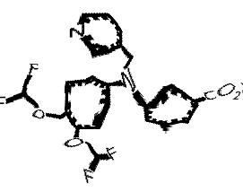 O=C(O)c1cccc(N(Cc2cccnc2)c2ccc(OC(F)F)c(OC(F)F)c2)c1